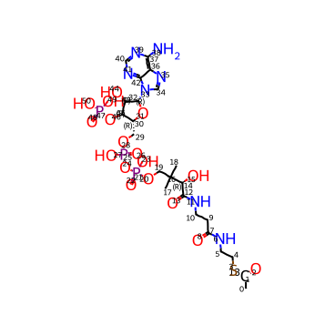 C[13C](=O)SCCNC(=O)CCNC(=O)[C@H](O)C(C)(C)COP(=O)(O)OP(=O)(O)OC[C@H]1O[C@@H](n2cnc3c(N)ncnc32)[C@H](O)[C@@H]1OP(=O)(O)O